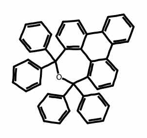 c1ccc(C2(c3ccccc3)OC(c3ccccc3)(c3ccccc3)c3cccc4c5ccccc5c5cccc2c5c34)cc1